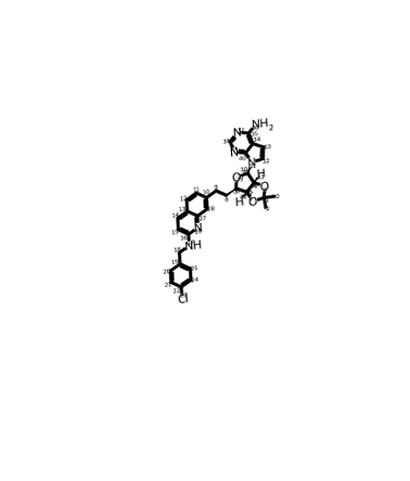 CC1(C)O[C@@H]2[C@H](O1)[C@@H](CCc1ccc3ccc(NCc4ccc(Cl)cc4)nc3c1)O[C@H]2n1ccc2c(N)ncnc21